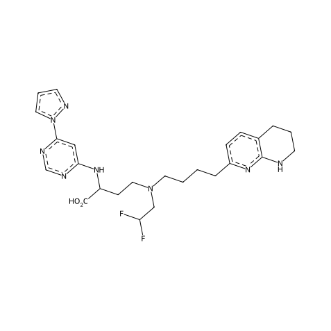 O=C(O)C(CCN(CCCCc1ccc2c(n1)NCCC2)CC(F)F)Nc1cc(-n2cccn2)ncn1